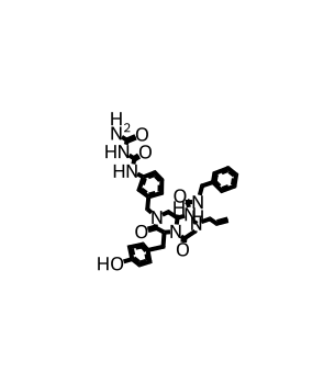 C=CCN1CC(=O)N2C(Cc3ccc(O)cc3)C(=O)N(Cc3cccc(NC(=O)NC(N)=O)c3)C[C@@H]2N1C(=O)NCc1ccccc1